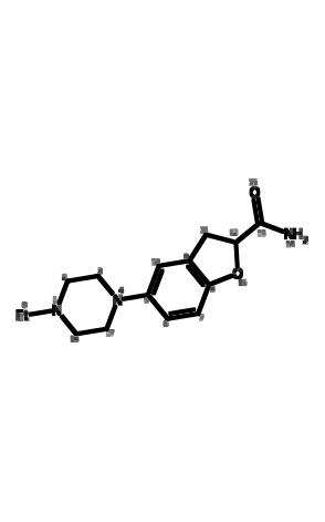 CCN1CCN(c2ccc3c(c2)CC(C(N)=O)O3)CC1